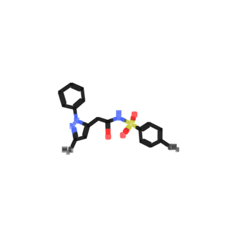 Cc1ccc(S(=O)(=O)NC(=O)Cc2cc(C)nn2-c2ccccc2)cc1